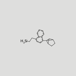 [SiH3]CCc1ccc(C2=CC3CCC2C3)c2ccccc12